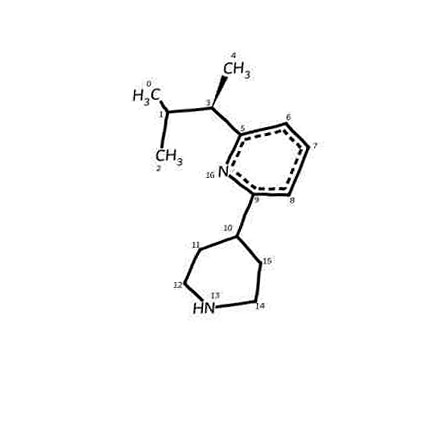 CC(C)[C@@H](C)c1cccc(C2CCNCC2)n1